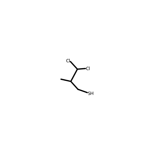 CC(CS)C(Cl)Cl